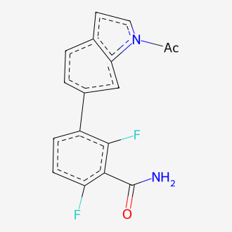 CC(=O)n1ccc2ccc(-c3ccc(F)c(C(N)=O)c3F)cc21